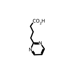 O=C(O)CCCc1ncccn1